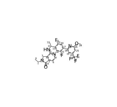 CCN1Cc2c(ccnc2NC(C)c2cc(F)c(-c3cc(C(F)(F)F)cc(OC)n3)cc2F)C1=O